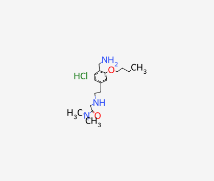 CCCCOc1cc(CCNCC(=O)N(C)C)ccc1CN.Cl